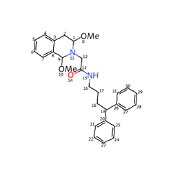 COC1Cc2ccccc2C(OC)N1CC(=O)NCCCC(c1ccccc1)c1ccccc1